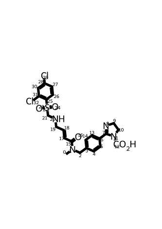 CN(Cc1ccc(C2=NCCN2C(=O)O)cc1)C(=O)C=CCNCS(=O)(=O)c1ccc(Cl)cc1Cl